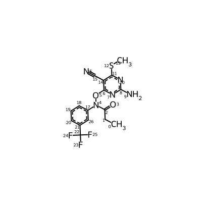 CCC(=O)N(Oc1nc(N)nc(SC)c1C#N)c1cccc(C(F)(F)F)c1